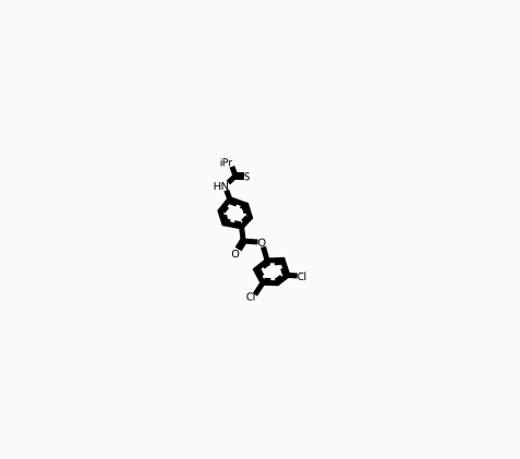 CC(C)C(=S)Nc1ccc(C(=O)Oc2cc(Cl)cc(Cl)c2)cc1